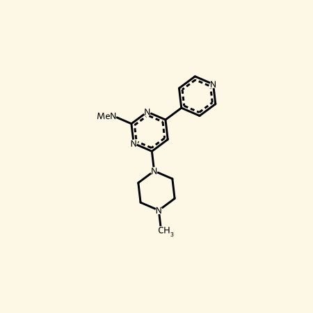 CNc1nc(-c2ccncc2)cc(N2CCN(C)CC2)n1